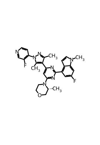 Cc1nn(-c2ccncc2F)c(C)c1-c1cc(N2CCOC[C@H]2C)nc(-c2cc(F)cc3c2ccn3C)n1